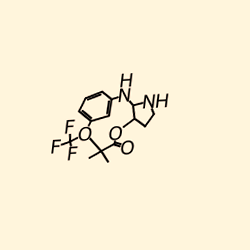 CC(C)(C)C(=O)OC1CCNC1Nc1cccc(OC(F)(F)F)c1